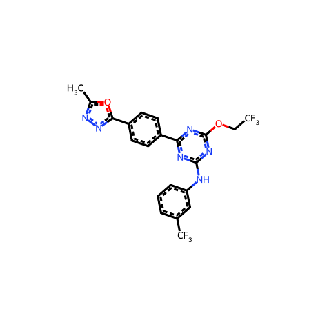 Cc1nnc(-c2ccc(-c3nc(Nc4cccc(C(F)(F)F)c4)nc(OCC(F)(F)F)n3)cc2)o1